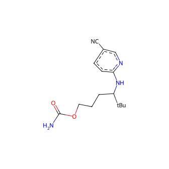 CC(C)(C)C(CCCOC(N)=O)Nc1ccc(C#N)cn1